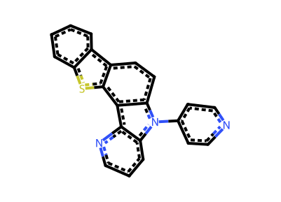 c1ccc2c(c1)sc1c2ccc2c1c1ncccc1n2-c1ccncc1